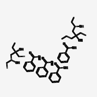 CCC(O)CC(O)(CC)CC.CCCC(O)(CC)CC(O)CC.O=C(O)c1ccccc1.O=C(O)c1ccccc1.O=C(O)c1ccccc1.O=C(O)c1ccccc1